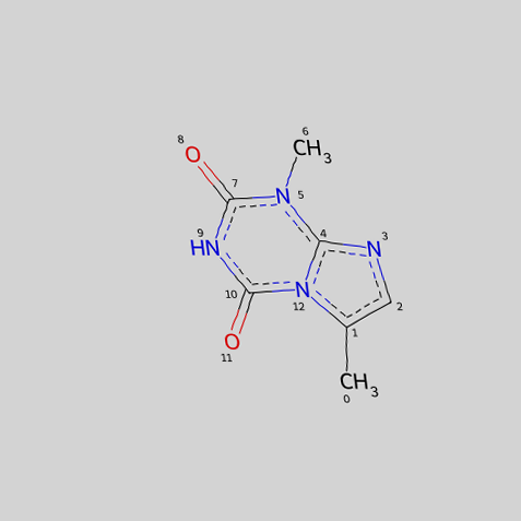 Cc1cnc2n(C)c(=O)[nH]c(=O)n12